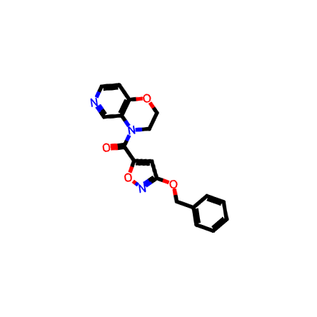 O=C(c1cc(OCc2ccccc2)no1)N1CCOc2ccncc21